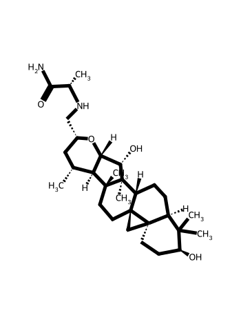 C[C@H](NC[C@H]1C[C@@H](C)[C@H]2[C@H](O1)[C@H](O)[C@@]1(C)[C@@H]3CC[C@H]4C(C)(C)[C@@H](O)CC[C@@]45C[C@@]35CC[C@]21C)C(N)=O